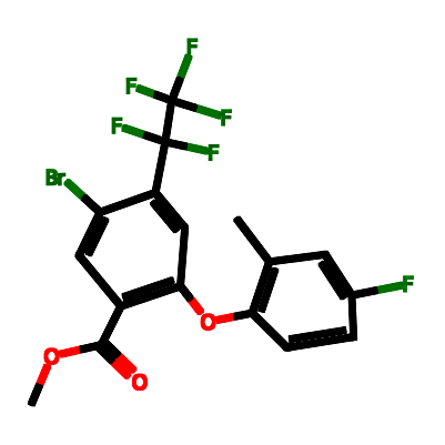 COC(=O)c1cc(Br)c(C(F)(F)C(F)(F)F)cc1Oc1ccc(F)cc1C